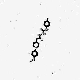 Cc1ccc(NC(=O)NNC(=O)CC2=CCN(c3ccc(N=O)cc3)CC2)cc1